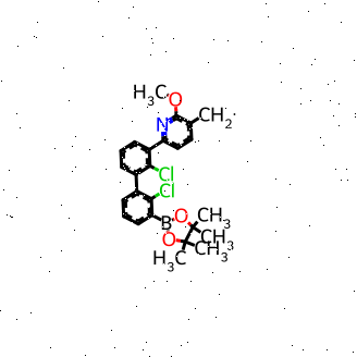 [CH2]c1ccc(-c2cccc(-c3cccc(B4OC(C)(C)C(C)(C)O4)c3Cl)c2Cl)nc1OC